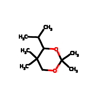 CC(C)C1OC(C)(C)OCC1(C)C